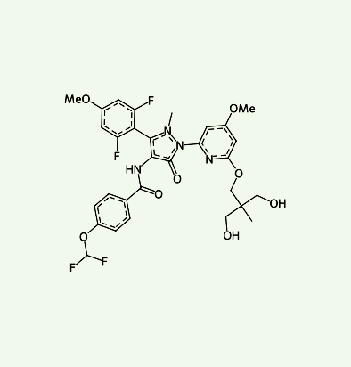 COc1cc(OCC(C)(CO)CO)nc(-n2c(=O)c(NC(=O)c3ccc(OC(F)F)cc3)c(-c3c(F)cc(OC)cc3F)n2C)c1